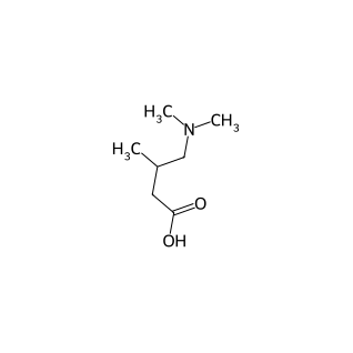 CC(CC(=O)O)CN(C)C